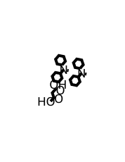 CN(C1CCCCC1)C1CCCCC1.CN(C1CCCCC1)C1CCCCC1.O=C(O)CC(=O)O